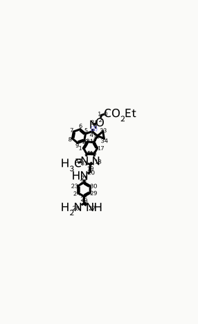 CCOC(=O)CO/N=C(/c1ccccc1)C1(c2ccc3c(c2)nc(CNc2ccc(C(=N)N)cc2)n3C)CC1